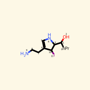 CCCC(O)C1NC=C(CCN)C1I